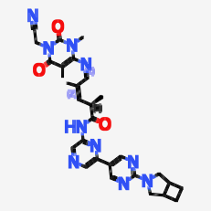 CC(/C=N\c1c(C)c(=O)n(CC#N)c(=O)n1C)=C/[C@@H](C)C(=O)Nc1cncc(-c2cnc(N3CC4CCC4C3)nc2)n1